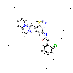 C/C=N\C(=C/c1ccc(NC(=O)Cc2ccccc2Cl)cc1SN)N1CCCCC1